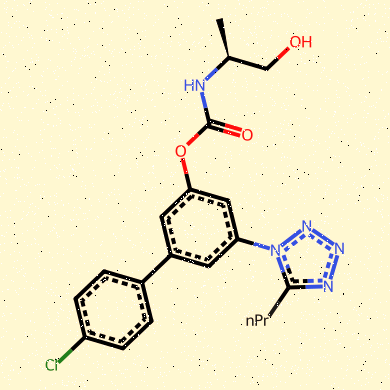 CCCc1nnnn1-c1cc(OC(=O)N[C@@H](C)CO)cc(-c2ccc(Cl)cc2)c1